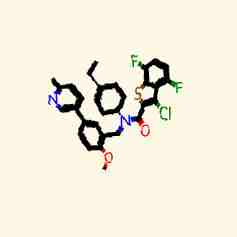 CC[C@H]1CC[C@H](N(Cc2cc(-c3ccc(C)nc3)ccc2OC)C(=O)c2sc3c(F)ccc(F)c3c2Cl)CC1